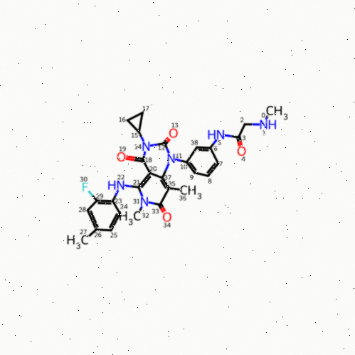 CNCC(=O)Nc1cccc(-n2c(=O)n(C3CC3)c(=O)c3c(Nc4ccc(C)cc4F)n(C)c(=O)c(C)c32)c1